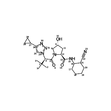 CC(C)(C)[C@H](C(=O)N1C[C@H](O)C[C@H]1C(=O)NC1CCCCC1C#N)n1cc(C2CC2)nn1